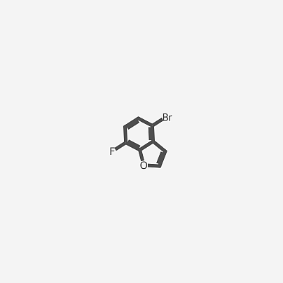 Fc1ccc(Br)c2ccoc12